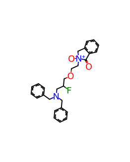 O=C1c2ccccc2C[N+]1([O-])CCOCC(F)CN(Cc1ccccc1)Cc1ccccc1